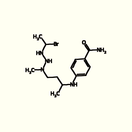 CC(Br)NNN(C)CCC(C)Nc1ccc(C(N)=O)cc1